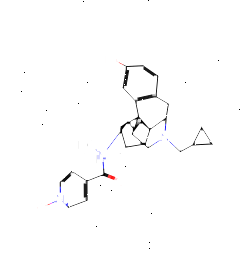 C[C@H]1CC23CCC(N(C)C(=O)c4cc[n+](O)cc4)C1C21CCN(CC2CC2)C3Cc2ccc(O)cc21